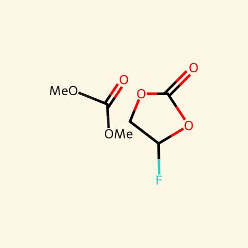 COC(=O)OC.O=C1OCC(F)O1